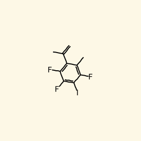 C=C(C)c1c(C)c(F)c(I)c(F)c1F